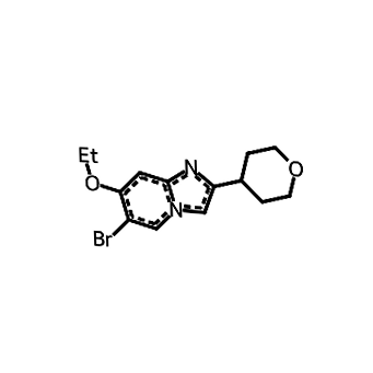 CCOc1cc2nc(C3CCOCC3)cn2cc1Br